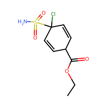 CCOC(=O)C1C=CC(Cl)(S(N)(=O)=O)C=C1